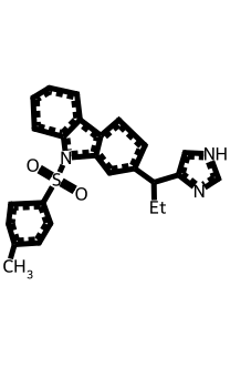 CCC(c1ccc2c3ccccc3n(S(=O)(=O)c3ccc(C)cc3)c2c1)c1c[nH]cn1